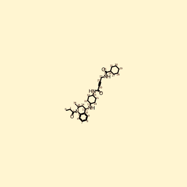 CCC(=O)N1c2ccccc2[C@H](NC2CCC(NC(=O)C#CCNC(=O)C3CCCCC3)CC2)C[C@@H]1C